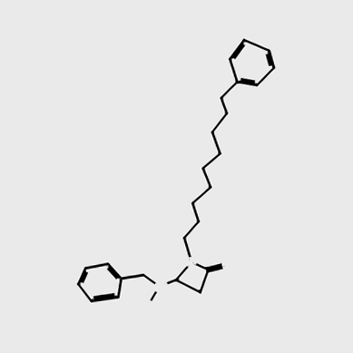 O=C1CC([S+]([O-])Cc2ccccc2)N1CCCCCCCCCc1ccccc1